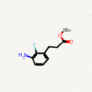 CC(C)(C)OC(=O)CCc1cccc(N)c1F